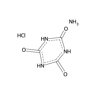 Cl.N.O=c1[nH]c(=O)[nH]c(=O)[nH]1